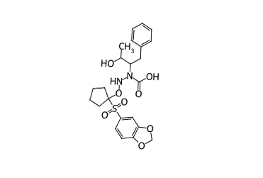 CC(O)C(Cc1ccccc1)N(NOC1(S(=O)(=O)c2ccc3c(c2)OCO3)CCCC1)C(=O)O